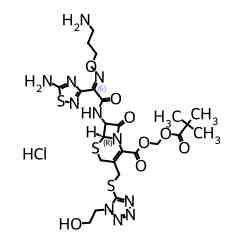 CC(C)(C)C(=O)OCOC(=O)C1=C(CSc2nnnn2CCO)CS[C@@H]2C(NC(=O)/C(=N/OCCCN)c3nsc(N)n3)C(=O)N12.Cl